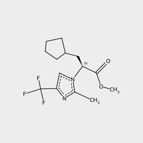 COC(=O)[C@H](CC1CCCC1)n1cc(C(F)(F)F)nc1C